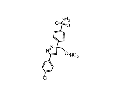 NS(=O)(=O)c1ccc(C2(CO[N+](=O)[O-])C=C(c3ccc(Cl)cc3)N=N2)cc1